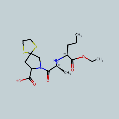 CCC[C@H](N[C@@H](C)C(=O)N1CC2(CC1C(=O)O)SCCS2)C(=O)OCC